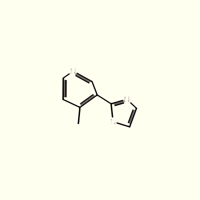 Clc1ccncc1-c1ncc[nH]1